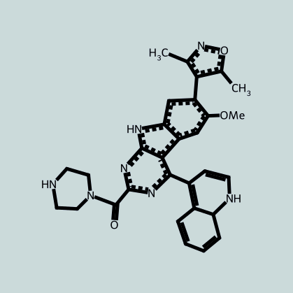 COc1cc2c(cc1-c1c(C)noc1C)[nH]c1nc(C(=O)N3CCNCC3)nc(C3=C4C=CC=CC4NC=C3)c12